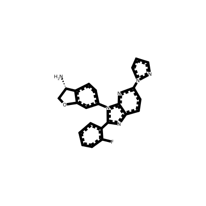 N[C@H]1COc2cc(-n3c(-c4ccccc4F)nc4ccc(-n5cccn5)nc43)ccc21